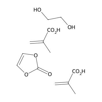 C=C(C)C(=O)O.C=C(C)C(=O)O.O=c1occo1.OCCO